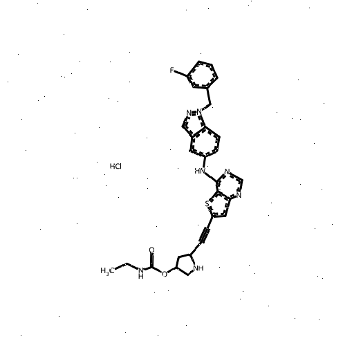 CCNC(=O)OC1CNC(C#Cc2cc3ncnc(Nc4ccc5c(cnn5Cc5cccc(F)c5)c4)c3s2)C1.Cl